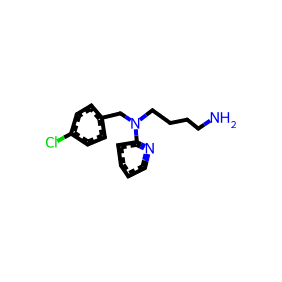 NCCCCN(Cc1ccc(Cl)cc1)c1ccccn1